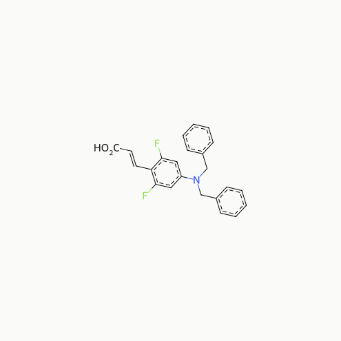 O=C(O)/C=C/c1c(F)cc(N(Cc2ccccc2)Cc2ccccc2)cc1F